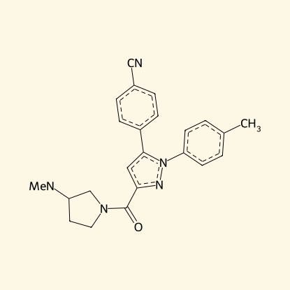 CNC1CCN(C(=O)c2cc(-c3ccc(C#N)cc3)n(-c3ccc(C)cc3)n2)C1